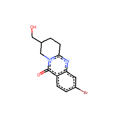 O=c1c2ccc(Br)cc2nc2n1CC(CO)CC2